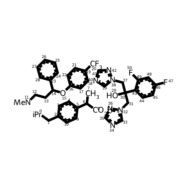 CC(C)Cc1ccc(C(C)C(=O)O)cc1.CNCCC(Oc1ccc(C(F)(F)F)cc1)c1ccccc1.OC(Cn1cncn1)(Cn1cncn1)c1ccc(F)cc1F